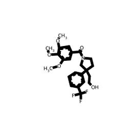 COc1cc(C(=O)N2CCC(CCO)(c3cccc(C(F)(F)F)c3)C2)cc(OC)c1OC